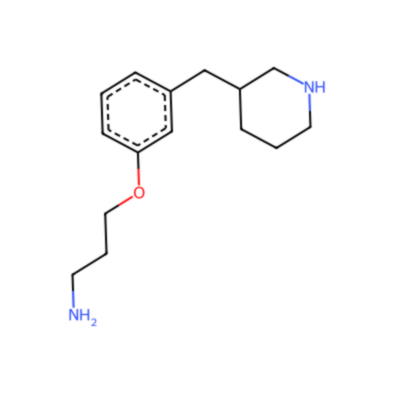 NCCCOc1cccc(CC2CCCNC2)c1